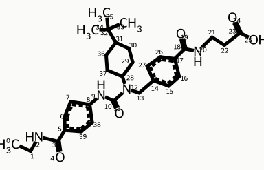 CCNC(=O)c1ccc(NC(=O)N(Cc2ccc(C(=O)NCCC(=O)O)cc2)C2CCC(C(C)(C)C)CC2)cc1